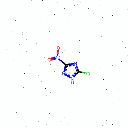 O=[N+]([O-])c1n[nH]c(Cl)n1